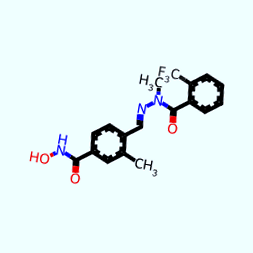 Cc1cc(C(=O)NO)ccc1C=NN(C)C(=O)c1ccccc1C(F)(F)F